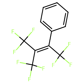 FC(F)(F)C(=C(C(F)(F)F)C(F)(F)F)c1ccccc1